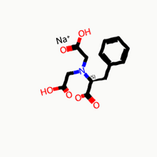 O=C(O)CN(CC(=O)O)[C@@H](Cc1ccccc1)C(=O)[O-].[Na+]